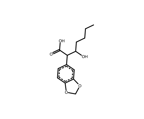 CCCCC(O)C(C(=O)O)c1ccc2c(c1)OCO2